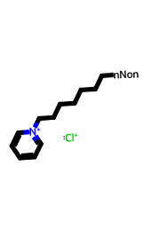 CCCCCCCCCCCCCCCC[n+]1ccccc1.[Cl+]